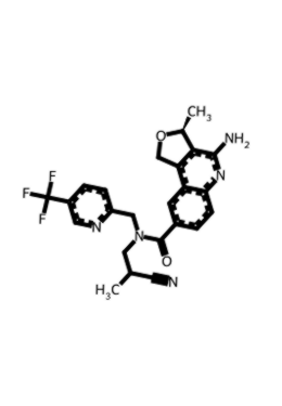 CC(C#N)CN(Cc1ccc(C(F)(F)F)cn1)C(=O)c1ccc2nc(N)c3c(c2c1)CO[C@H]3C